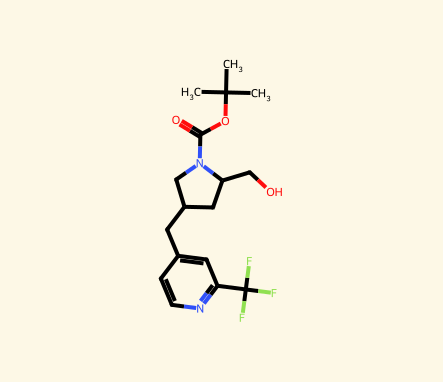 CC(C)(C)OC(=O)N1CC(Cc2ccnc(C(F)(F)F)c2)CC1CO